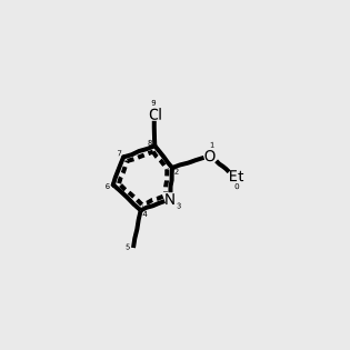 CCOc1nc(C)ccc1Cl